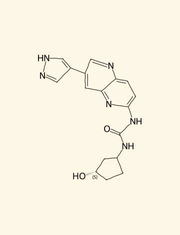 O=C(Nc1ccc2ncc(-c3cn[nH]c3)cc2n1)NC1CC[C@H](O)C1